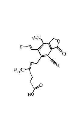 CC(=CCc1c(C#N)c2c(c(C)c1C=CF)COC2=O)CCC(=O)O